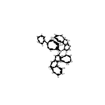 c1ccc(-c2ccc(N(c3cc4ccc5ccccc5c4c4ccccc34)c3ccnc4sc5ccccc5c34)cc2)cc1